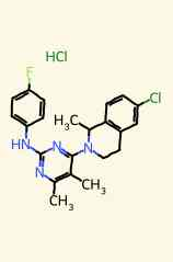 Cc1nc(Nc2ccc(F)cc2)nc(N2CCc3cc(Cl)ccc3C2C)c1C.Cl